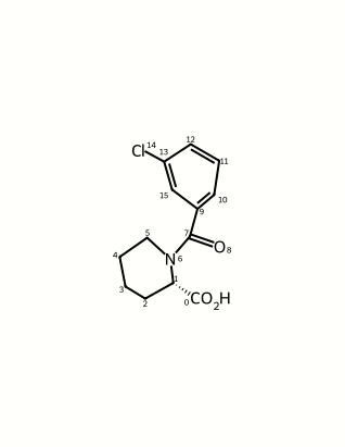 O=C(O)[C@@H]1CCCCN1C(=O)c1cccc(Cl)c1